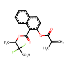 C=C(C)C(=O)Oc1ccc2ccccc2c1C(=O)OC(C(F)(F)F)C(F)(F)S(=O)(=O)O